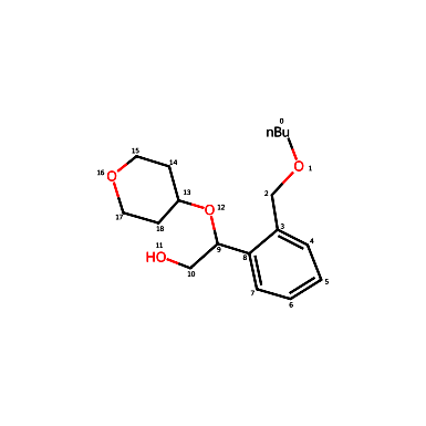 CCCCOCc1ccccc1C(CO)OC1CCOCC1